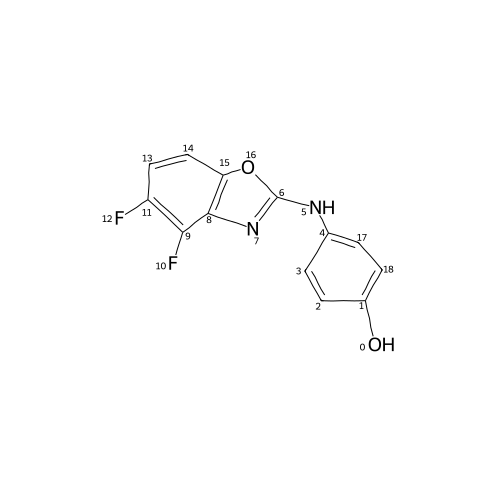 Oc1ccc(Nc2nc3c(F)c(F)ccc3o2)cc1